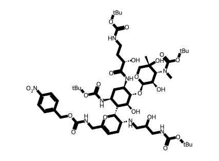 CN(C(=O)OC(C)(C)C)[C@@H]1[C@@H](O)[C@@H](O[C@H]2[C@H](NC(=O)[C@@H](O)CCNC(=O)OC(C)(C)C)C[C@H](NC(=O)OC(C)(C)C)C([C@H]3OC(CNC(=O)OCc4ccc([N+](=O)[O-])cc4)=CC[C@H]3NCC(O)CNC(=O)OC(C)(C)C)[C@@H]2O)OC[C@]1(C)O